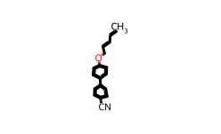 C/C=C/C=C/COc1ccc(-c2ccc(C#N)cc2)cc1